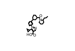 CCCC1CCCCN1C(=O)C1CCCC(c2cccc(-n3ncc(C(=O)O)c3C3CC3)c2)C1